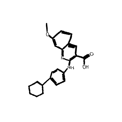 COc1ccc2cc(C(=O)O)c(Nc3ccc(C4CCCCC4)cc3)nc2c1